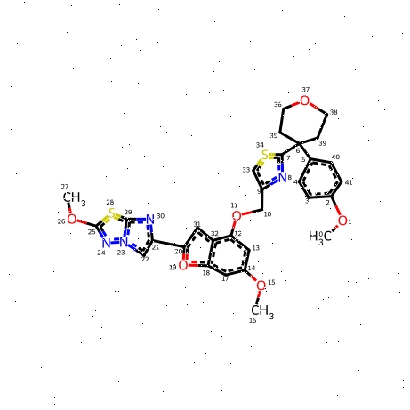 COc1ccc(C2(c3nc(COc4cc(OC)cc5oc(-c6cn7nc(OC)sc7n6)cc45)cs3)CCOCC2)cc1